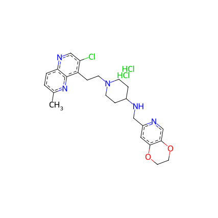 Cc1ccc2ncc(Cl)c(CCN3CCC(NCc4cc5c(cn4)OCCO5)CC3)c2n1.Cl.Cl